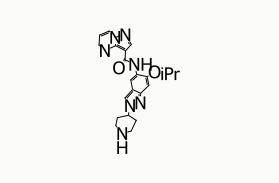 CC(C)Oc1cc2nn(C3CCNCC3)cc2cc1NC(=O)c1cnn2cccnc12